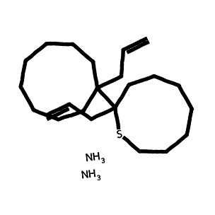 C=CCC1(C2(CC=C)CCCCCCCS2)CCCCCCCC1.N.N